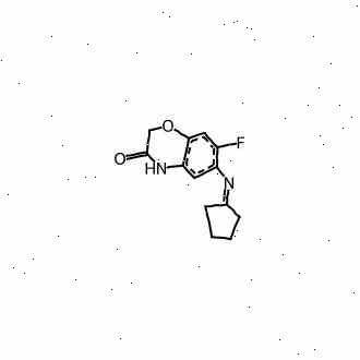 O=C1COc2cc(F)c(N=C3CCCC3)cc2N1